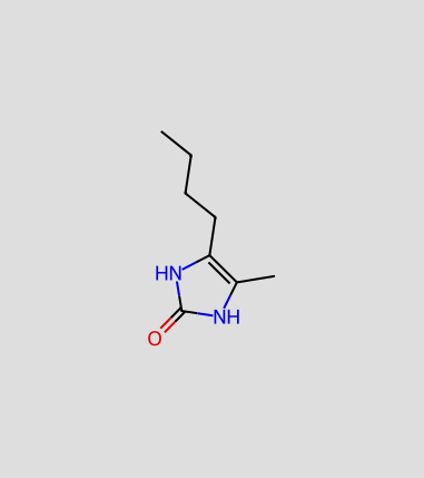 CCCCc1[nH]c(=O)[nH]c1C